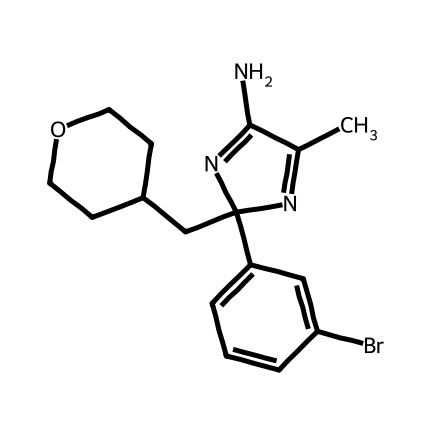 CC1=NC(CC2CCOCC2)(c2cccc(Br)c2)N=C1N